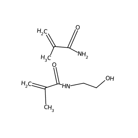 C=C(C)C(=O)NCCO.C=C(C)C(N)=O